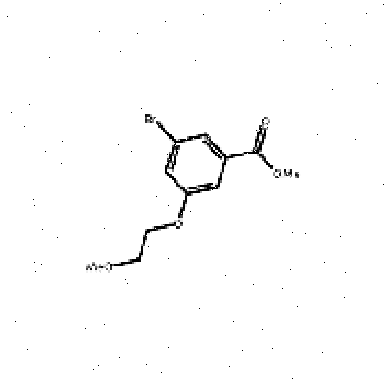 COCCOc1cc(Br)cc(C(=O)OC)c1